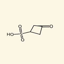 O=C1CC(S(=O)(=O)O)C1